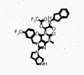 Cn1c(=O)n(C(OC(=O)C(F)(F)F)C(=O)NC2Cc3ccccc3C2)c(=O)c2c1nc(N1CCC3CNCC31)n2Cc1cccc(C(F)(F)F)c1